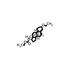 CCOC(=O)O[C@H]1CC[C@H]2[C@@H]3CCC4=C[C@@H](OCC)CC[C@]4(C)[C@H]3CC[C@]12C